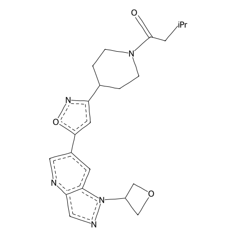 CC(C)CC(=O)N1CCC(c2cc(-c3cnc4cnn(C5COC5)c4c3)on2)CC1